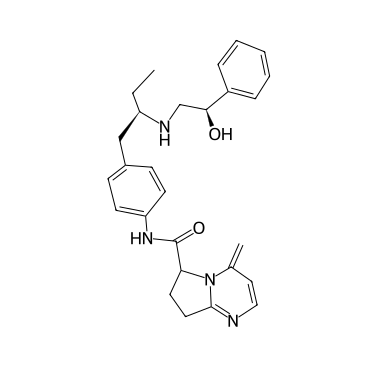 C=C1C=CN=C2CCC(C(=O)Nc3ccc(C[C@@H](CC)NC[C@H](O)c4ccccc4)cc3)N12